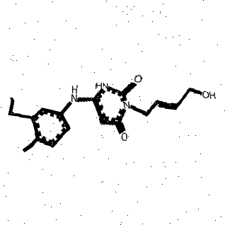 CCc1cc(Nc2cc(=O)n(C/C=C/CO)c(=O)[nH]2)ccc1C